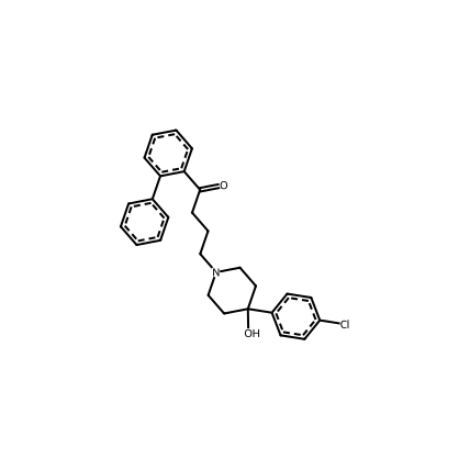 O=C(CCCN1CCC(O)(c2ccc(Cl)cc2)CC1)c1ccccc1-c1ccccc1